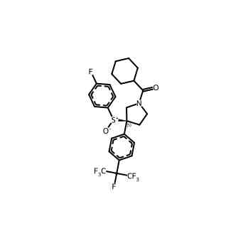 O=C(C1CCCCC1)N1CC[C@@](c2ccc(C(F)(C(F)(F)F)C(F)(F)F)cc2)([S+]([O-])c2ccc(F)cc2)C1